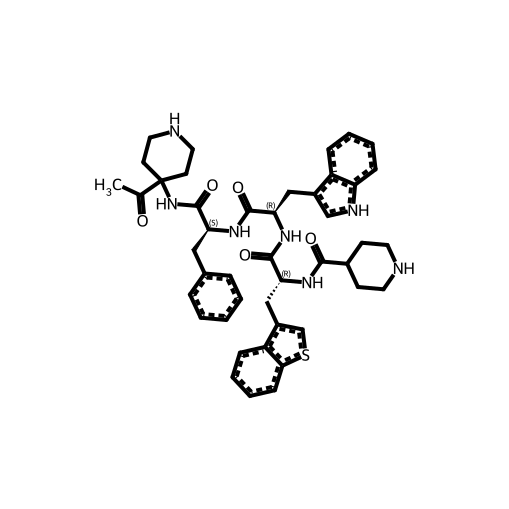 CC(=O)C1(NC(=O)[C@H](Cc2ccccc2)NC(=O)[C@@H](Cc2c[nH]c3ccccc23)NC(=O)[C@@H](Cc2csc3ccccc23)NC(=O)C2CCNCC2)CCNCC1